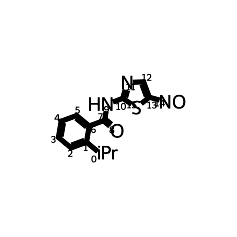 CC(C)c1ccccc1C(=O)Nc1ncc(N=O)s1